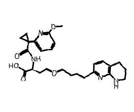 COc1cccc(C2(C(=O)N[C@@H](CCOCCCCc3ccc4c(n3)NCCC4)C(=O)O)CC2)n1